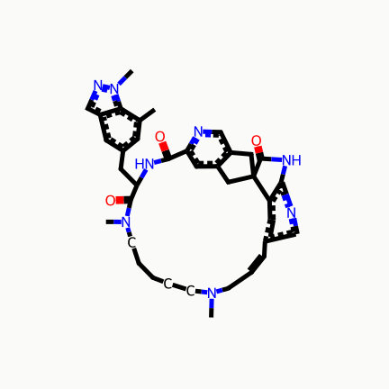 Cc1cc(CC2NC(=O)c3cc4c(cn3)CC3(C4)C(=O)Nc4ncc(cc43)C=CCN(C)CCCCCN(C)C2=O)cc2cnn(C)c12